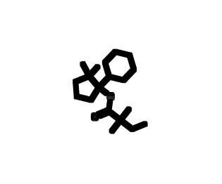 CCC(C)(C)C(=O)OC1(C2CCCCC2)CCCC1(C)C